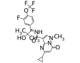 Cn1cc(C(=O)N[C@@H](c2ccc(OC(F)(F)F)c(F)c2)C(C)(C)O)c2nc(C3CC3)cc(=O)n21